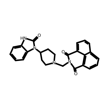 O=C1c2cccc3cccc(c23)C(=O)N1CN1CCC(n2c(=O)[nH]c3ccccc32)CC1